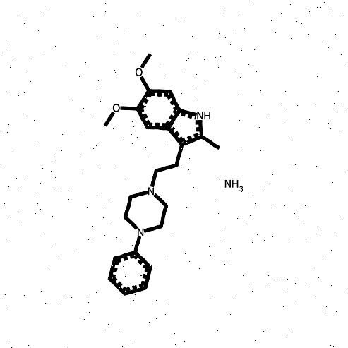 COc1cc2[nH]c(C)c(CCN3CCN(c4ccccc4)CC3)c2cc1OC.N